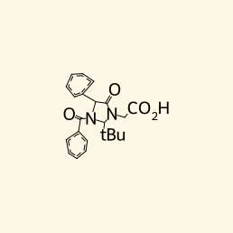 CC(C)(C)C1N(CC(=O)O)C(=O)C(c2ccccc2)N1C(=O)c1ccccc1